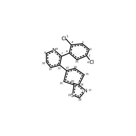 Clc1ccc(Cl)c(-c2ncccc2-c2ccc3ncsc3c2)c1